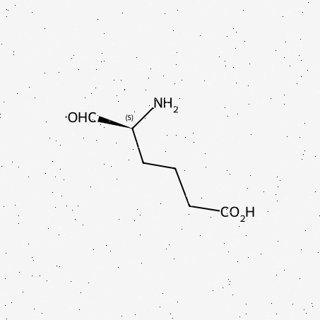 N[C@H]([C]=O)CCCC(=O)O